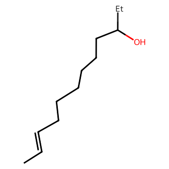 CC=CCCCCCCC(O)CC